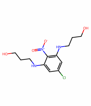 O=[N+]([O-])c1c(NCCCO)cc(Cl)cc1NCCCO